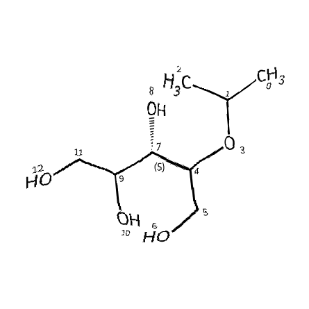 CC(C)OC(CO)[C@@H](O)C(O)CO